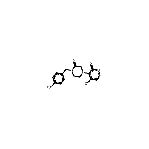 O=C1CN(c2c(Cl)cn[nH]c2=O)CCN1Cc1ccc(C(F)(F)F)cc1